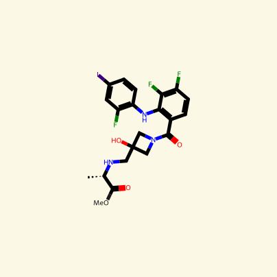 COC(=O)[C@H](C)NCC1(O)CN(C(=O)c2ccc(F)c(F)c2Nc2ccc(I)cc2F)C1